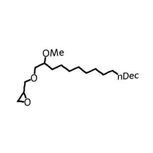 CCCCCCCCCCCCCCCCCCC(COCC1CO1)OC